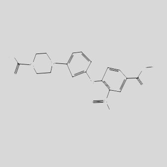 COC(=O)c1ccc(Nc2cccc(N3CCN(C(C)=O)CC3)c2)c([N+](=O)[O-])c1